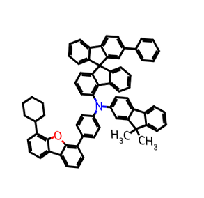 CC1(C)c2ccccc2-c2ccc(N(c3ccc(-c4cccc5c4oc4c(C6CCCCC6)cccc45)cc3)c3cccc4c3-c3ccccc3C43c4ccccc4-c4ccc(-c5ccccc5)cc43)cc21